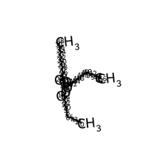 CCCCCC/C=C\CCCCCCCC(=O)OC[C@H](COC(=O)CCCCCCCCCCCCCCC)OC(=O)CCCCCCC/C=C\CCCCCC